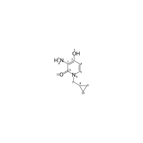 Nc1c(O)ccn(CC2CC2)c1=O